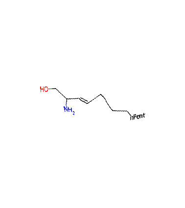 CCCCCCCC/C=C/C(N)CO